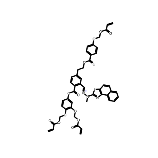 C=CC(=O)OCOc1ccc(C(=O)OCCc2ccc(C(=O)Oc3ccc(OCOC(=O)C=C)c(OCOC(=O)C=C)c3)c(/C=N/N(C)c3nc4c(ccc5ccccc54)s3)c2)cc1